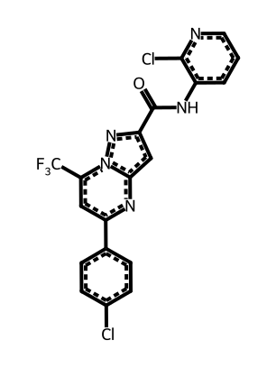 O=C(Nc1cccnc1Cl)c1cc2nc(-c3ccc(Cl)cc3)cc(C(F)(F)F)n2n1